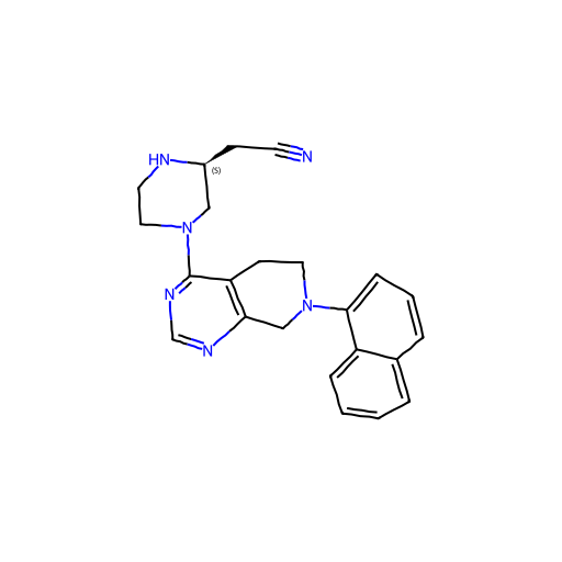 N#CC[C@H]1CN(c2ncnc3c2CCN(c2cccc4ccccc24)C3)CCN1